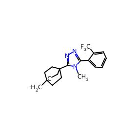 [CH2]C12CCC(c3nnc(-c4ccccc4C(F)(F)F)n3C)(CC1)CC2